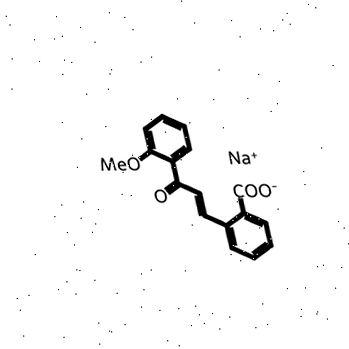 COc1ccccc1C(=O)/C=C/c1ccccc1C(=O)[O-].[Na+]